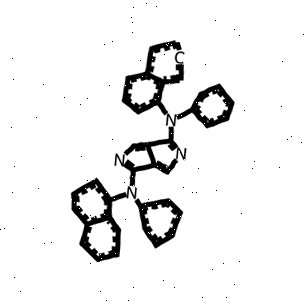 C1=C2C(=CN=C2N(c2ccccc2)c2cccc3ccccc23)C(N(c2ccccc2)c2cccc3ccccc23)=N1